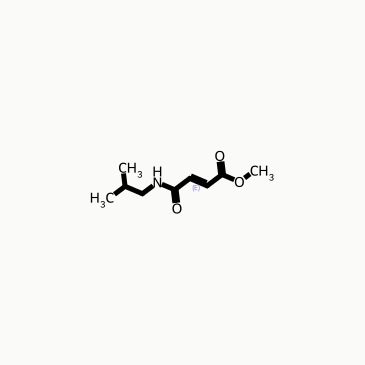 COC(=O)/C=C/C(=O)NCC(C)C